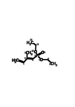 C=C/C(C)=C/P(=O)(OCC)OCC